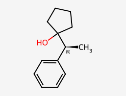 C[C@@H](c1ccccc1)C1(O)CCCC1